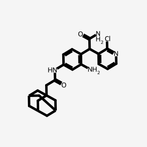 NC(=O)C(c1ccc(NC(=O)CC23CC4CC(CC(C4)C2)C3)cc1N)c1cccnc1Cl